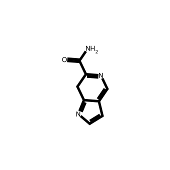 NC(=O)C1=NC=C2C=CN=C2C1